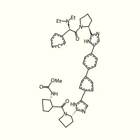 CCN(CC)[C@@H](C(=O)N1CCC[C@H]1c1ncc(-c2ccc(-c3ccc(-c4cnc([C@@H]5CCCN5C(=O)C5CCC[C@@H]5NC(=O)OC)[nH]4)cc3)cc2)[nH]1)c1ccccc1